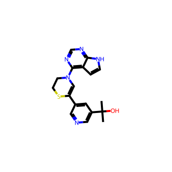 CC(C)(O)c1cncc(C2=CN(c3ncnc4[nH]ccc34)CCS2)c1